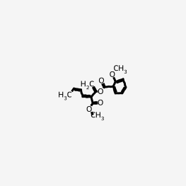 C=C(OC(=O)c1ccccc1OC)/C(=C\C=C/C)C(=O)OC